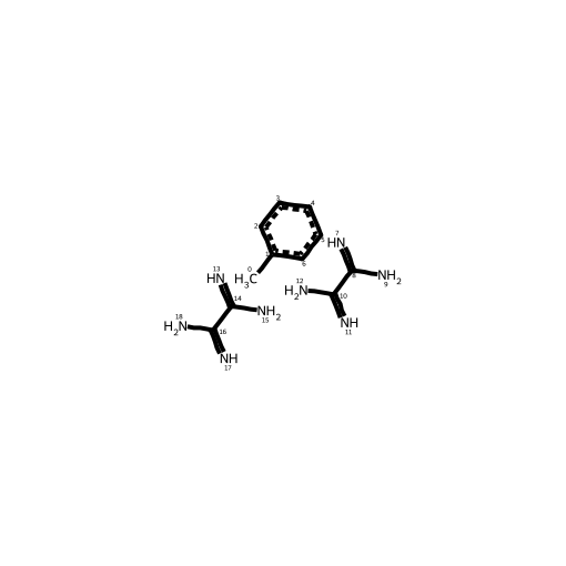 Cc1ccccc1.N=C(N)C(=N)N.N=C(N)C(=N)N